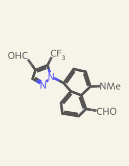 CNc1ccc(-n2ncc(C=O)c2C(F)(F)F)c2cccc(C=O)c12